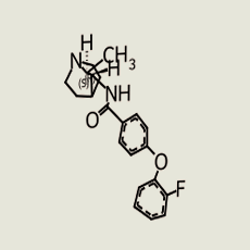 C[C@H]1[C@H](NC(=O)c2ccc(Oc3ccccc3F)cc2)C2CCN1CC2